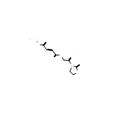 COC(=O)/C=C/C(=O)OCC(=O)N1CCOC1=O